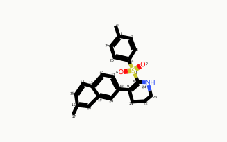 Cc1ccc(S(=O)(=O)C2=C(c3ccc4ccc(C)cc4c3)CCCN2)cc1